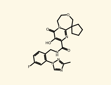 Cc1ncn(-c2cc(F)ccc2CNC(=O)c2nc3n(c(=O)c2O)CCOCC32CCCC2)n1